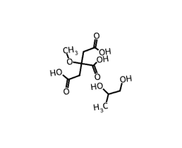 CC(O)CO.COC(CC(=O)O)(CC(=O)O)C(=O)O